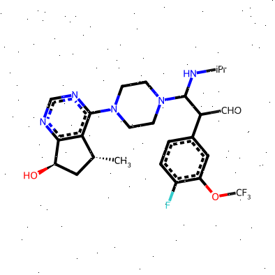 CC(C)NC(C(C=O)c1ccc(F)c(OC(F)(F)F)c1)N1CCN(c2ncnc3c2[C@H](C)C[C@H]3O)CC1